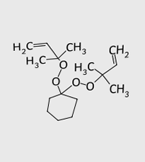 C=CC(C)(C)OOC1(OOC(C)(C)C=C)CCCCC1